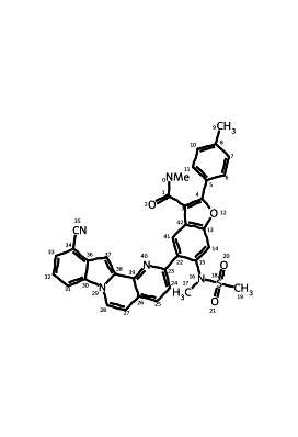 CNC(=O)c1c(-c2ccc(C)cc2)oc2cc(N(C)S(C)(=O)=O)c(-c3ccc4ccn5c6cccc(C#N)c6cc5c4n3)cc12